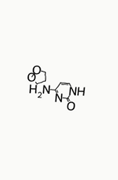 C1COOC1.Nc1cc[nH]c(=O)n1